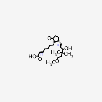 COCCC(C)(C)C(O)/C=C/[C@H]1CCC(=O)[C@@H]1CCCC/C=C/C(=O)O